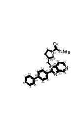 CNC(=O)N1CC[C@H](Cn2c(-c3ccc(-c4ccccc4)cc3)nc3cnccc32)C1